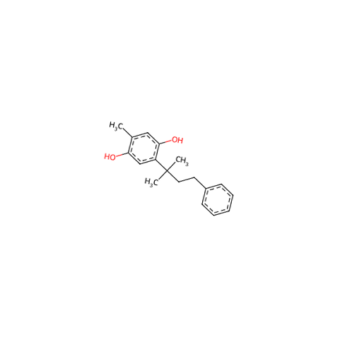 Cc1cc(O)c(C(C)(C)CCc2ccccc2)cc1O